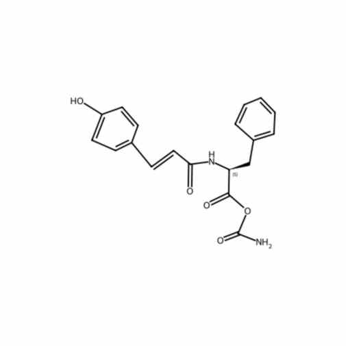 NC(=O)OC(=O)[C@H](Cc1ccccc1)NC(=O)C=Cc1ccc(O)cc1